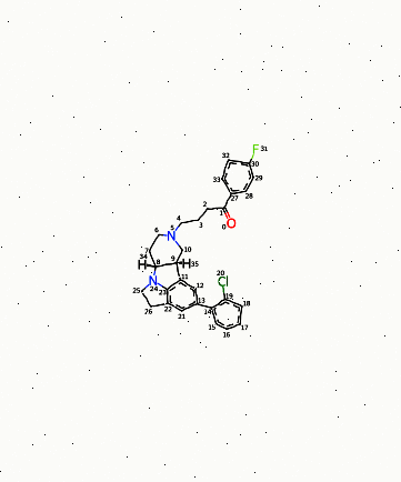 O=C(CCCN1CC[C@@H]2[C@H](C1)c1cc(-c3ccccc3Cl)cc3c1N2CC3)c1ccc(F)cc1